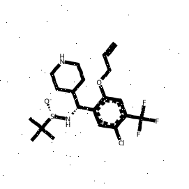 C=CCOc1cc(C(F)(F)F)c(Cl)cc1[C@H](N[S@@+]([O-])C(C)(C)C)C1CCNCC1